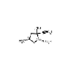 C#C[C@@]1(C(C)(C)C)C[C@H](C)CN1C(=O)O